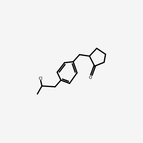 CC(Cl)Cc1ccc(CC2CCCC2=O)cc1